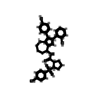 O=C(NC1CCCOc2c1nn(-c1ccccc1Cl)c2-c1ccc(Cl)cc1)[C@H]1CCCN1S(=O)(=O)c1ccc(Cl)cc1